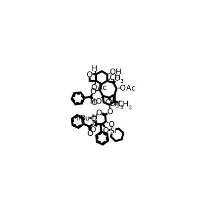 CCCCOC(=O)CO[Si]1(O[C@@H](C(=O)O[C@H]2C[C@@]3(O)[C@@H](OC(=O)c4ccccc4)C4[C@](C)(C(=O)[C@H](OC(C)=O)C(=C2C)C3(C)C)[C@@H](O)C[C@H]2OC[C@@]42OC(C)=O)[C@H](NC(=O)c2ccccc2)c2ccccc2)CCCCC1